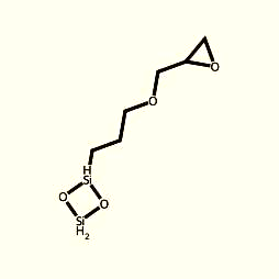 C(COCC1CO1)C[SiH]1O[SiH2]O1